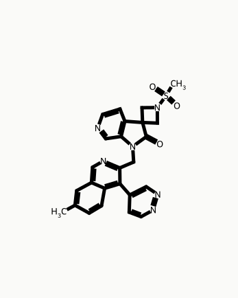 Cc1ccc2c(-c3ccnnc3)c(CN3C(=O)C4(CN(S(C)(=O)=O)C4)c4ccncc43)ncc2c1